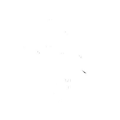 CC(C)C(C)C[C@H](NC(=O)ON1CCOCC1)C(=O)NC1C(=O)COC1CCN(C)C